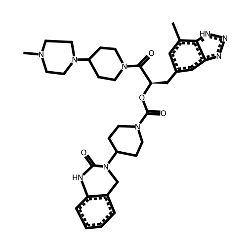 Cc1cc(C[C@@H](OC(=O)N2CCC(N3Cc4ccccc4NC3=O)CC2)C(=O)N2CCC(N3CCN(C)CC3)CC2)cc2nn[nH]c12